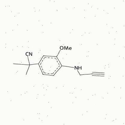 C#CCNc1ccc(C(C)(C)C#N)cc1OC